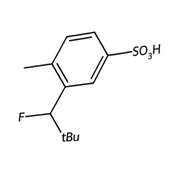 Cc1ccc(S(=O)(=O)O)cc1C(F)C(C)(C)C